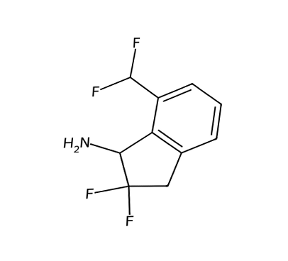 NC1c2c(cccc2C(F)F)CC1(F)F